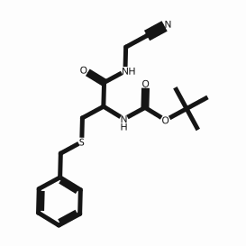 CC(C)(C)OC(=O)NC(CSCc1ccccc1)C(=O)NCC#N